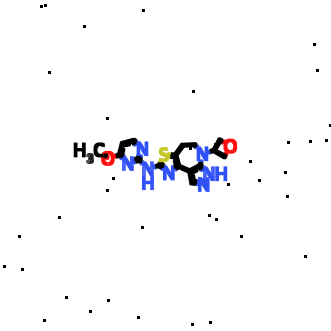 COc1ccnc(Nc2nc3c(s2)CCN(C2COC2)c2[nH]ncc2-3)n1